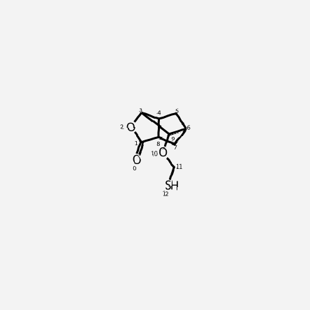 O=C1OC2C3CC(CC13)C2OCS